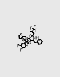 C/C(=C\C(=O)NC(Cc1ccccc1)C(O)CN(Cc1cccs1)S(=O)(=O)c1cc(F)c(F)cc1F)C(F)(F)F